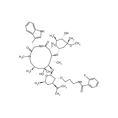 CO[C@]1(C)C[C@H](O[C@H]2[C@H](C)[C@@H](O[C@@H]3O[C@H](C)C[C@H](N(C)C)[C@H]3OCCCNC(=O)c3ccccc3F)[C@](C)(O)C[C@@H](C)CN(C)C(=O)[C@H](Cc3c[nH]c4ccccc34)NC(=O)[C@@H]2C)O[C@@H](C)[C@@H]1O